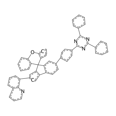 c1ccc(-c2nc(-c3ccccc3)nc(-c3ccc(-c4ccc5c(c4)C4(c6ccccc6Oc6ccccc64)c4cc(-c6cccc7cccnc67)ccc4-5)cc3)n2)cc1